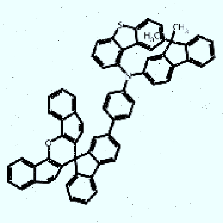 CC1(C)c2ccccc2-c2ccc(N(c3ccc(-c4ccc5c(c4)C4(c6ccccc6-5)c5ccc6ccccc6c5Oc5c4ccc4ccccc54)cc3)c3cccc4sc5ccccc5c34)cc21